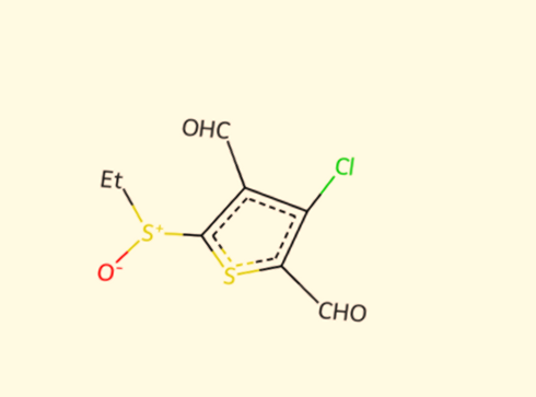 CC[S+]([O-])c1sc(C=O)c(Cl)c1C=O